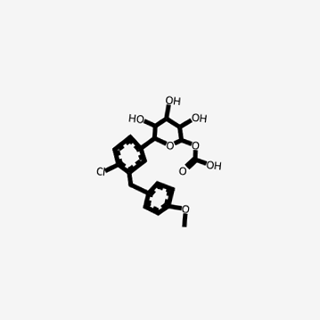 COc1ccc(Cc2cc(C3OC(OC(=O)O)C(O)C(O)C3O)ccc2Cl)cc1